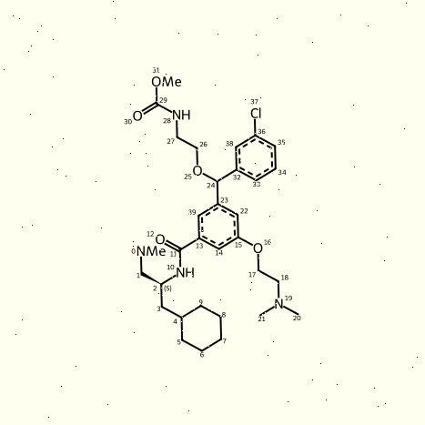 CNC[C@H](CC1CCCCC1)NC(=O)c1cc(OCCN(C)C)cc(C(OCCNC(=O)OC)c2cccc(Cl)c2)c1